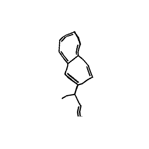 [CH]=CC(C)c1ccc2ccccc2c1